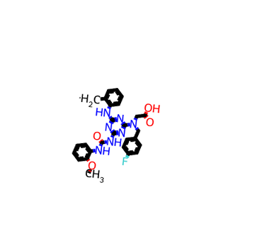 [CH2]c1ccccc1Nc1nc(NC(=O)Nc2ccccc2OC)nc(N(CC(=O)O)Cc2ccc(F)cc2)n1